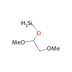 COCC(OC)O[SiH2]